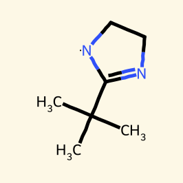 CC(C)(C)C1=NCC[N]1